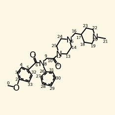 COc1ccc(C(=O)N(CC(=O)N2CCN(CC3CCN(C)CC3)CC2)c2ccccc2)cc1